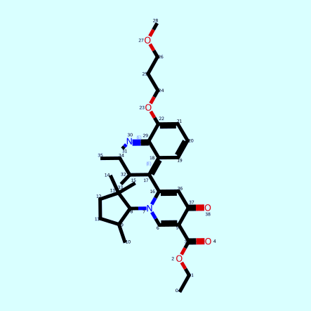 CCOC(=O)c1cn(C2C(C)CCC2(C)C)c(/C(=C2\C=CC=C(OCCCOC)\C2=N\C)C(C)CC)cc1=O